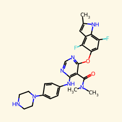 Cc1cc2c(F)c(Oc3ncnc(Nc4ccc(N5CCNCC5)cc4)c3C(=O)N(C)C)cc(F)c2[nH]1